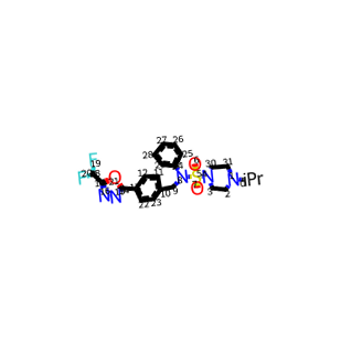 CC(C)N1CCN(S(=O)(=O)N(Cc2ccc(-c3nnc(C(F)F)o3)cc2)c2ccccc2)CC1